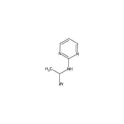 CC(C)C(C)Nc1ncccn1